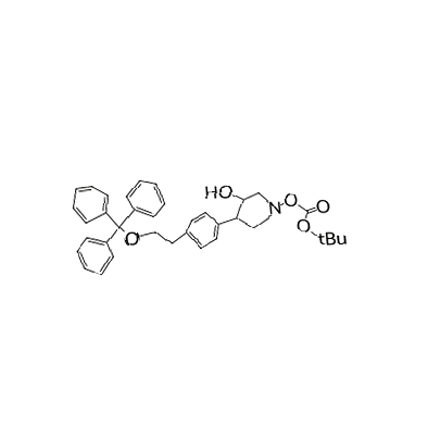 CC(C)(C)OC(=O)ON1CCC(c2ccc(CCOC(c3ccccc3)(c3ccccc3)c3ccccc3)cc2)C(O)C1